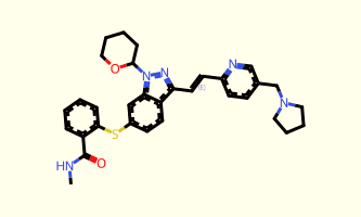 CNC(=O)c1ccccc1Sc1ccc2c(/C=C/c3ccc(CN4CCCC4)cn3)nn(C3CCCCO3)c2c1